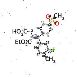 CCOC(=O)/C(CC(=O)O)=C(/c1ccc(S(C)(=O)=O)cc1)c1ccc(C)c(F)c1